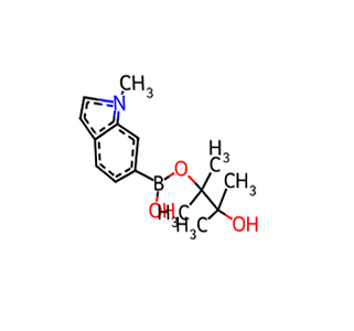 Cn1ccc2ccc(B(O)OC(C)(C)C(C)(C)O)cc21